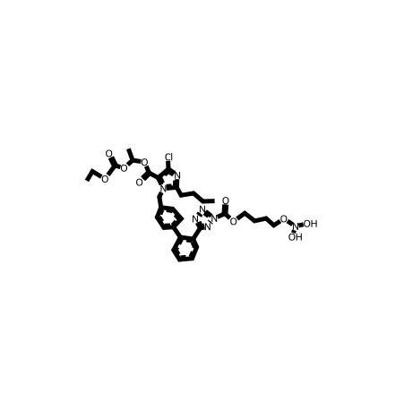 CCCCc1nc(Cl)c(C(=O)OC(C)OC(=O)OCC)n1Cc1ccc(-c2ccccc2-c2nnn(C(=O)OCCCCON(O)O)n2)cc1